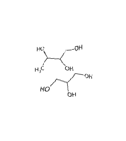 CC(O)C(O)CO.OCC(O)CO